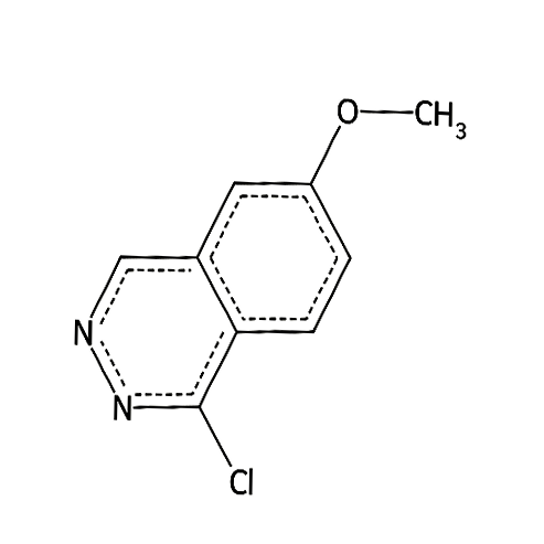 COc1ccc2c(Cl)nncc2c1